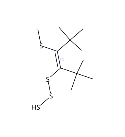 CS/C(=C(\SSS)C(C)(C)C)C(C)(C)C